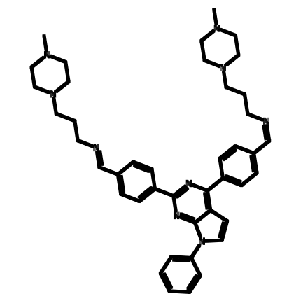 CN1CCN(CCC/N=C\c2ccc(-c3nc(-c4ccc(/C=N/CCCN5CCN(C)CC5)cc4)nc4c3ccn4-c3ccccc3)cc2)CC1